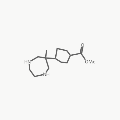 COC(=O)C1CCC(C2(C)CNCCNC2)CC1